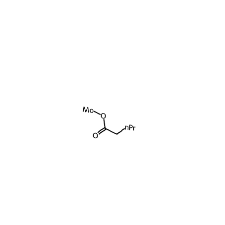 CCCCC(=O)[O][Mo]